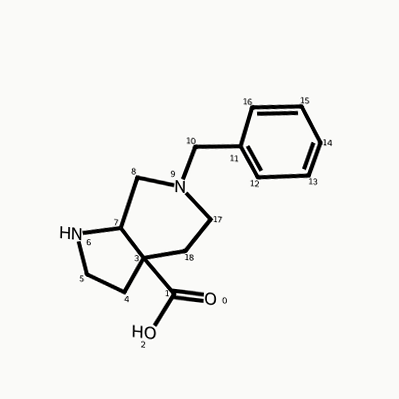 O=C(O)C12CCNC1CN(Cc1ccccc1)CC2